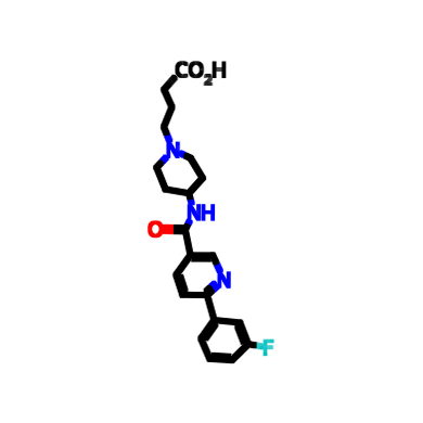 O=C(O)CCCN1CCC(NC(=O)c2ccc(-c3cccc(F)c3)nc2)CC1